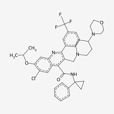 CC(C)Oc1cc2nc(-c3cccc(C(F)(F)F)c3)c(CN3CCC(N4CCOCC4)CC3)c(C(=O)NC3(c4ccccc4)CC3)c2cc1Cl